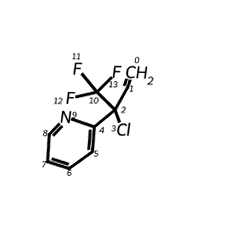 C=CC(Cl)(c1ccccn1)C(F)(F)F